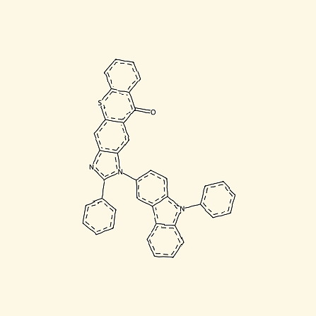 O=c1c2ccccc2sc2cc3nc(-c4ccccc4)n(-c4ccc5c(c4)c4ccccc4n5-c4ccccc4)c3cc12